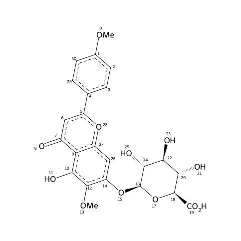 COc1ccc(-c2cc(=O)c3c(O)c(OC)c(O[C@@H]4O[C@H](C(=O)O)[C@@H](O)[C@H](O)[C@H]4O)cc3o2)cc1